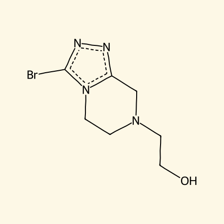 OCCN1CCn2c(Br)nnc2C1